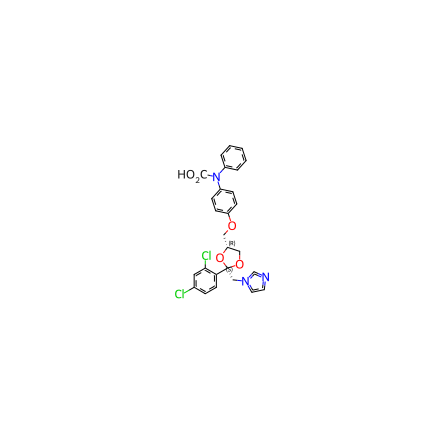 O=C(O)N(c1ccccc1)c1ccc(OC[C@@H]2CO[C@@](Cn3ccnc3)(c3ccc(Cl)cc3Cl)O2)cc1